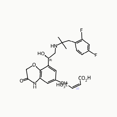 CC(C)(Cc1ccc(F)cc1F)NC[C@H](O)c1cc(O)cc2c1OCC(=O)N2.O=C(O)/C=C\C(=O)O